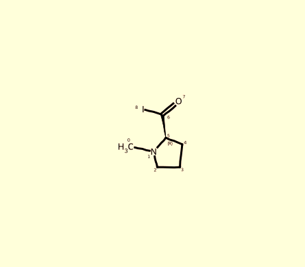 CN1CCC[C@@H]1C(=O)I